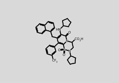 O=C(O)C1CN(C2CCCC2)S(=O)(=O)c2c(-c3cccc(C(F)(F)F)c3)c(Cc3cccc4ccccc34)c(NC3CCCC3)c(=O)n21